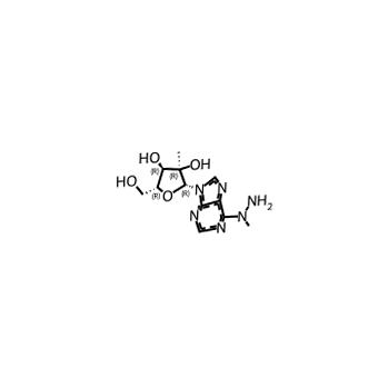 CN(N)c1ncnc2c1ncn2[C@@H]1O[C@H](CO)[C@@H](O)[C@@]1(C)O